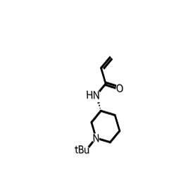 C=CC(=O)N[C@@H]1CCCN(C(C)(C)C)C1